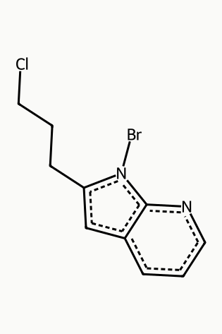 ClCCCc1cc2cccnc2n1Br